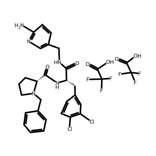 Nc1ccc(CNC(=O)[C@H](Cc2ccc(Cl)c(Cl)c2)NC(=O)[C@H]2CCCN2Cc2ccccc2)cn1.O=C(O)C(F)(F)F.O=C(O)C(F)(F)F